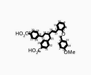 COc1ccc(COc2ccccc2/C=C/C(CCc2ccc(C(=O)O)cc2)Cc2ccc(C(=O)O)cc2)cc1